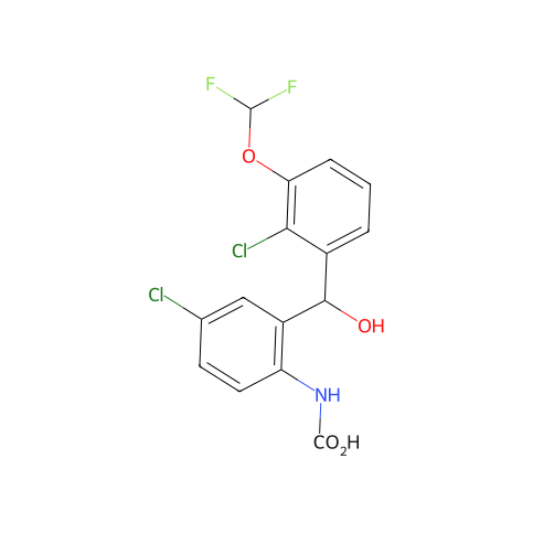 O=C(O)Nc1ccc(Cl)cc1C(O)c1cccc(OC(F)F)c1Cl